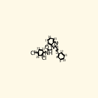 O=C(Cn1c(CSc2ccccc2)nc2ccccc21)Nc1ccc(Cl)cc1Cl